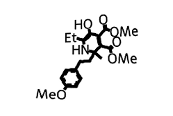 CCC1=C(O)C(C(=O)OC)=C(C(=O)OC)C(C)(CCc2ccc(OC)cc2)N1